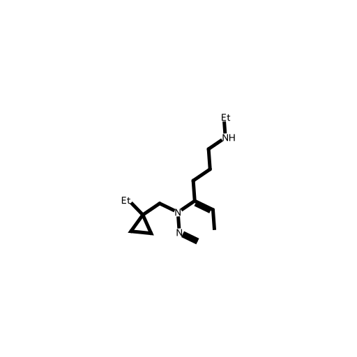 C=NN(CC1(CC)CC1)/C(=C\C)CCCNCC